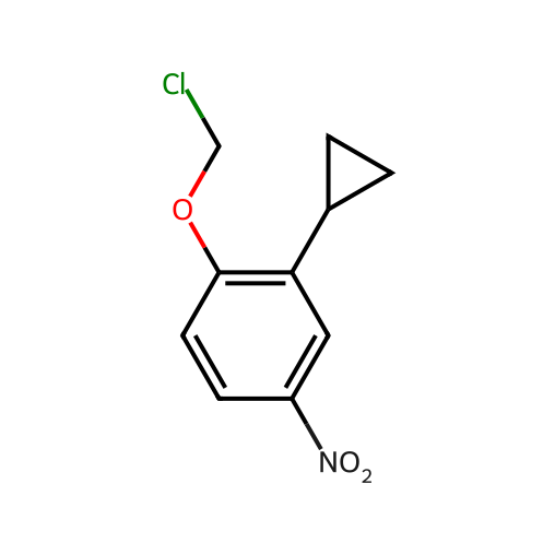 O=[N+]([O-])c1ccc(OCCl)c(C2CC2)c1